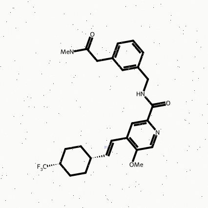 CNC(=O)Cc1cccc(CNC(=O)c2cc(/C=C/[C@H]3CC[C@@H](C(F)(F)F)CC3)c(OC)cn2)c1